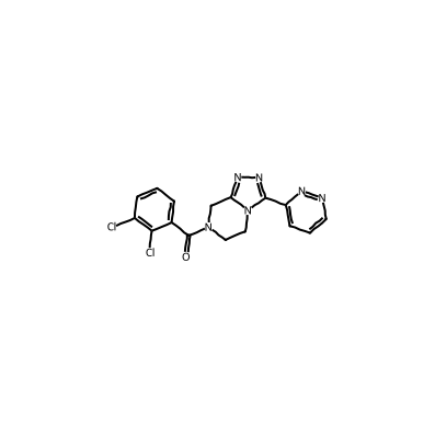 O=C(c1cccc(Cl)c1Cl)N1CCn2c(nnc2-c2cccnn2)C1